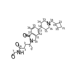 CC(CCC(=O)NC=O)N1Cc2cc(C3CCN(CC4CCC4)CC3)ccc2C1=O